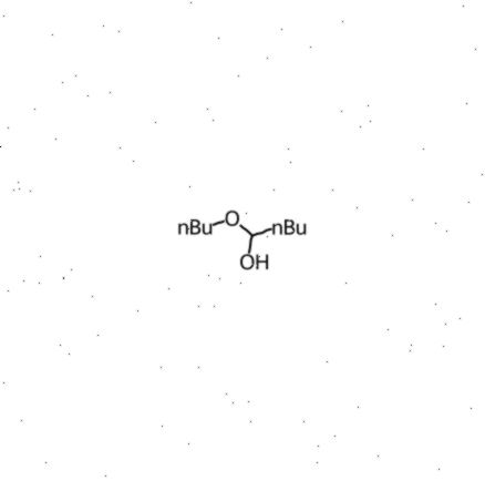 CCCCOC(O)CCCC